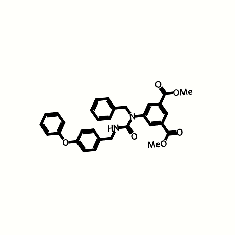 COC(=O)c1cc(C(=O)OC)cc(N(Cc2ccccc2)C(=O)NCc2ccc(Oc3ccccc3)cc2)c1